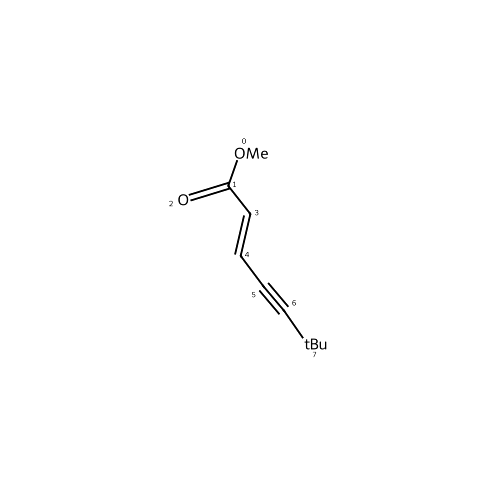 COC(=O)/C=C/C#CC(C)(C)C